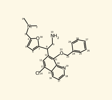 CN(C)Cc1ccc(C(CN)c2cc(Cl)c3cccnc3c2OCc2ccccc2)o1